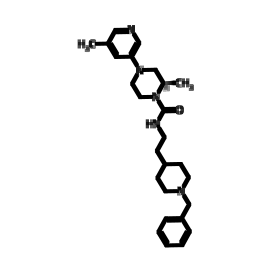 Cc1cncc(N2CCN(C(=O)NCCC3CCN(Cc4ccccc4)CC3)[C@H](C)C2)c1